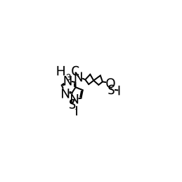 CN(c1ncnc2c1ccn2SI)C1CC2(CC(OSI)C2)C1